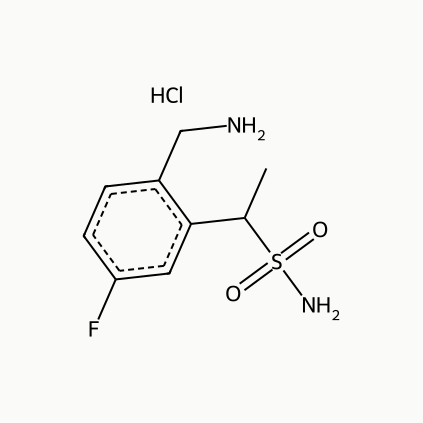 CC(c1cc(F)ccc1CN)S(N)(=O)=O.Cl